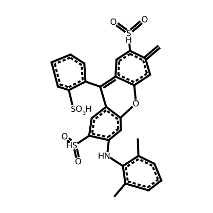 C=c1cc2c(cc1[SH](=O)=O)=C(c1ccccc1S(=O)(=O)O)c1cc([SH](=O)=O)c(Nc3c(C)cccc3C)cc1O2